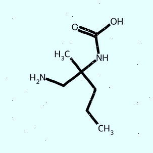 CCCC(C)(CN)NC(=O)O